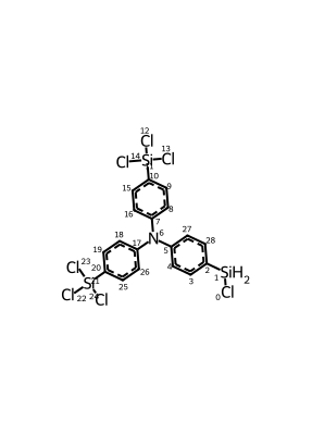 Cl[SiH2]c1ccc(N(c2ccc([Si](Cl)(Cl)Cl)cc2)c2ccc([Si](Cl)(Cl)Cl)cc2)cc1